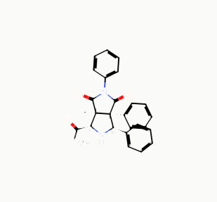 COC(=O)[C@@H]1N[C@H](c2ccccc2)[C@]2(c3ccccc3)C(=O)N(c3ccccc3)C(=O)[C@H]12